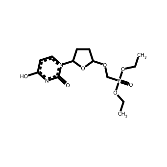 CCOP(=O)(COC1CCC(n2ccc(O)nc2=O)O1)OCC